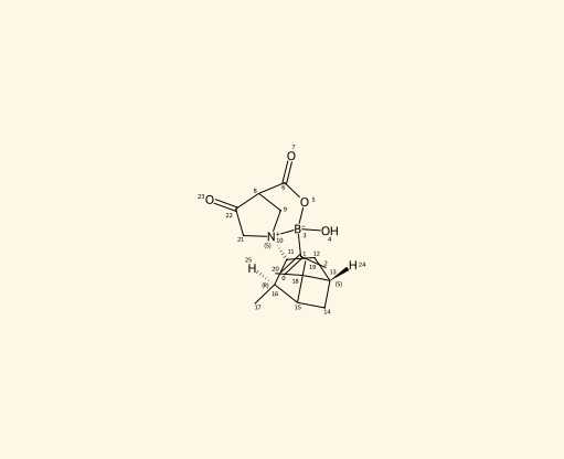 C=C(C)[B-]1(O)OC(=O)C2C[N@+]1(C1C[C@@H]3CC([C@H]1C)C3(C)C)CC2=O